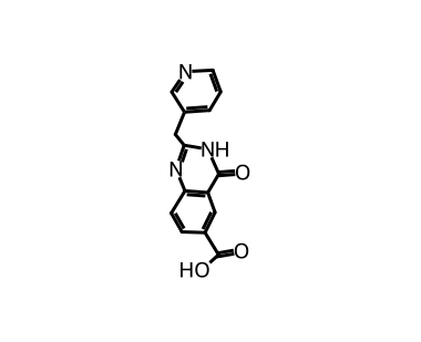 O=C(O)c1ccc2nc(Cc3cccnc3)[nH]c(=O)c2c1